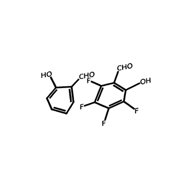 O=Cc1c(O)c(F)c(F)c(F)c1F.O=Cc1ccccc1O